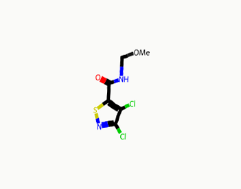 COCNC(=O)c1snc(Cl)c1Cl